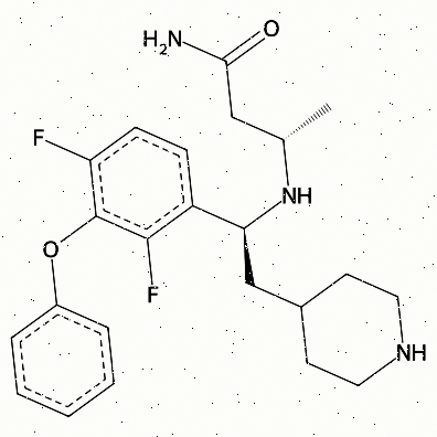 C[C@@H](CC(N)=O)N[C@@H](CC1CCNCC1)c1ccc(F)c(Oc2ccccc2)c1F